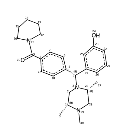 C[C@@H]1CN([C@H](c2ccc(C(=O)N3CCCCC3)cc2)c2cccc(O)c2)[C@H](C)CN1C